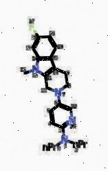 CCCN(CCC)c1ccc(N2CCc3c(n(C)c4cc(F)ccc34)C2)cn1